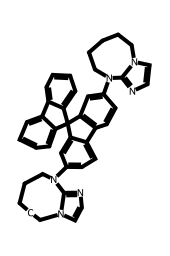 c1ccc2c(c1)-c1ccccc1C21c2cc(N3CCCCCn4ccnc43)ccc2-c2ccc(N3CCCCCn4ccnc43)cc21